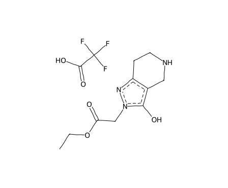 CCOC(=O)Cn1nc2c(c1O)CNCC2.O=C(O)C(F)(F)F